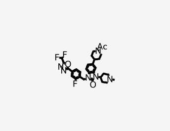 CC(=O)N1CCC(c2ccc3c(c2)n(C2CCN(C)CC2)c(=O)n3Cc2ccc(-c3nnc(C(F)F)o3)cc2F)CC1